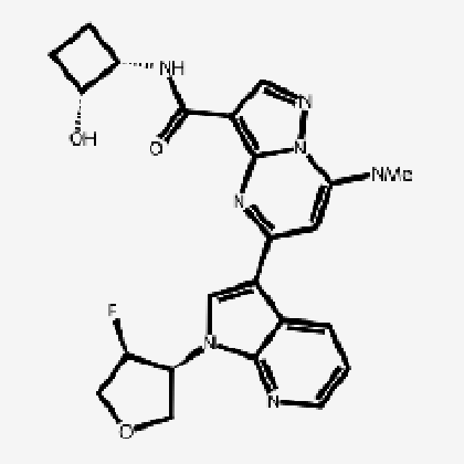 CNc1cc(-c2cn([C@H]3COC[C@H]3F)c3ncccc23)nc2c(C(=O)N[C@H]3CC[C@H]3O)cnn12